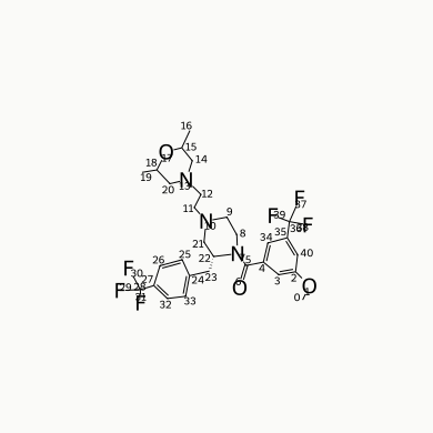 COc1cc(C(=O)N2CCN(CCN3CC(C)OC(C)C3)C[C@H]2Cc2ccc(C(F)(F)F)cc2)cc(C(F)(F)F)c1